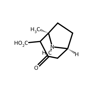 CN1[C@H]2CC[C@]1(C)C(C(=O)O)C(=O)C2